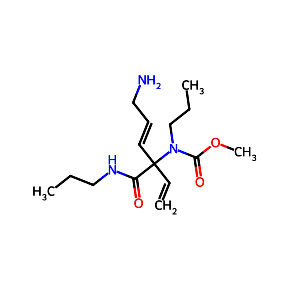 C=CC(C=CCN)(C(=O)NCCC)N(CCC)C(=O)OC